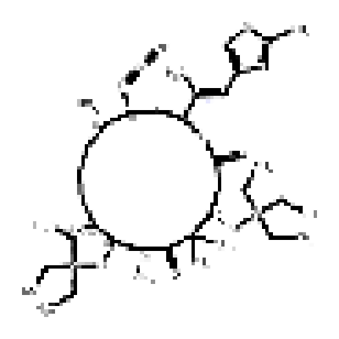 CC[Si](CC)(CC)O[C@H]1[C@@H](C)CCC[C@H](O)[C@@H](N=[N+]=[N-])CC(/C(C)=C/c2csc(C)n2)OC(=O)C[C@H](O[Si](CC)(CC)CC)C(C)(C)C(=O)[C@@H]1C